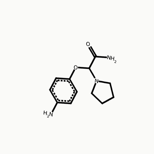 NC(=O)C(Oc1ccc(N)cc1)N1CCCC1